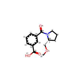 COC[C@H]1CCCN1C(=O)c1cccc(C(=O)O)c1